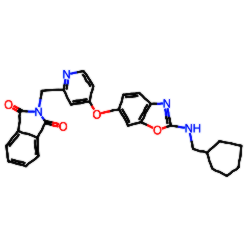 O=C1c2ccccc2C(=O)N1Cc1cc(Oc2ccc3nc(NCC4CCCCC4)oc3c2)ccn1